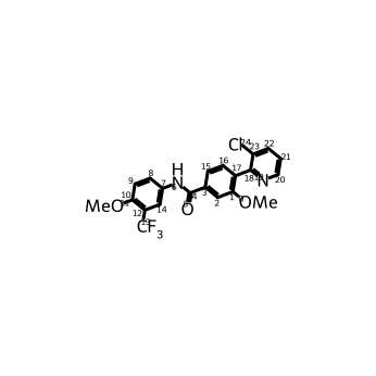 COc1cc(C(=O)Nc2ccc(OC)c(C(F)(F)F)c2)ccc1-c1ncccc1Cl